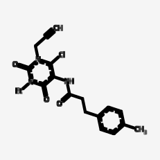 C#CCn1c(Cl)c(NC(=O)CCc2ccc(C)cc2)c(=O)n(CC)c1=O